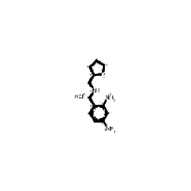 Cl.Nc1ccc(CNCC2CCCO2)c(N)c1